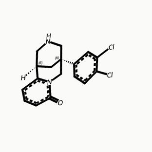 O=c1cccc2n1C[C@]1(c3ccc(Cl)c(Cl)c3)CNC[C@H]2C1